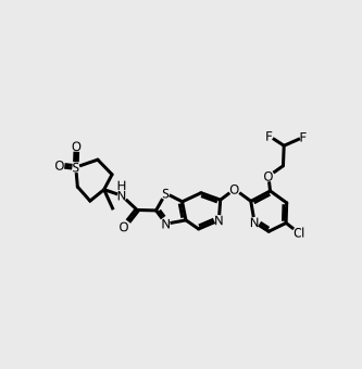 CC1(NC(=O)c2nc3cnc(Oc4ncc(Cl)cc4OCC(F)F)cc3s2)CCS(=O)(=O)CC1